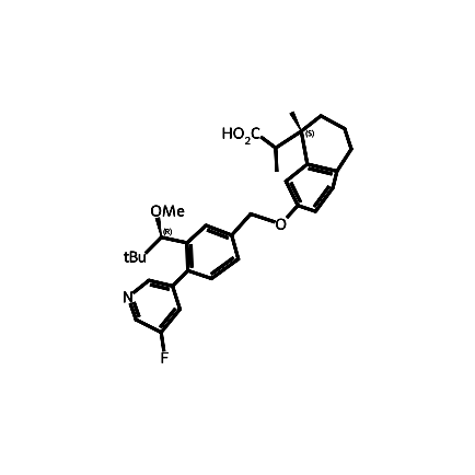 CO[C@@H](c1cc(COc2ccc3c(c2)[C@](C)(C(C)C(=O)O)CCC3)ccc1-c1cncc(F)c1)C(C)(C)C